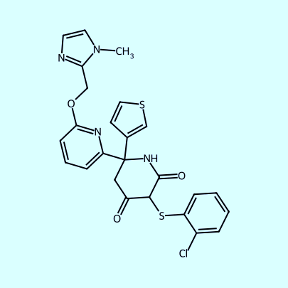 Cn1ccnc1COc1cccc(C2(c3ccsc3)CC(=O)C(Sc3ccccc3Cl)C(=O)N2)n1